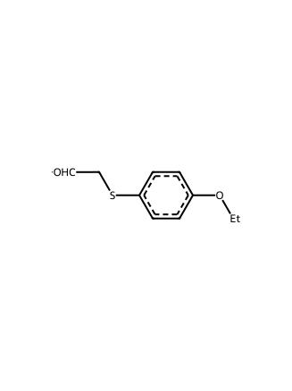 CCOc1ccc(SC[C]=O)cc1